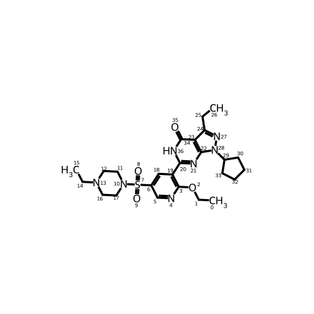 CCOc1ncc(S(=O)(=O)N2CCN(CC)CC2)cc1-c1nc2c(c(CC)nn2C2CCCC2)c(=O)[nH]1